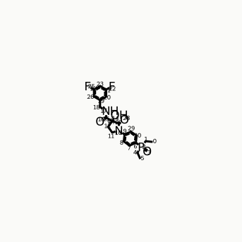 CCP(=O)(CC)c1ccc(N2CC[C@](O)(C(=O)NCc3cc(F)cc(F)c3)C2=O)cc1